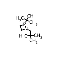 CC(C)(C)CN1CCP1C(C)(C)C